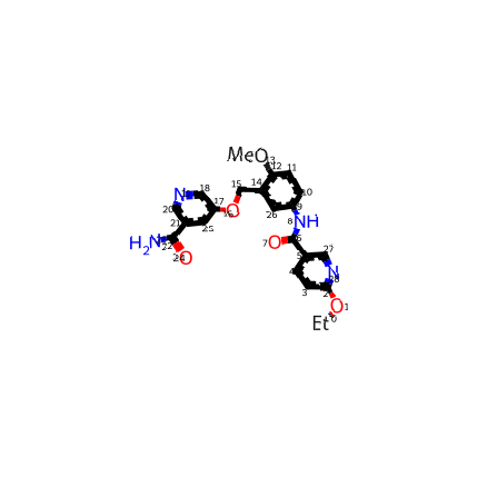 CCOc1ccc(C(=O)Nc2ccc(OC)c(COc3cncc(C(N)=O)c3)c2)cn1